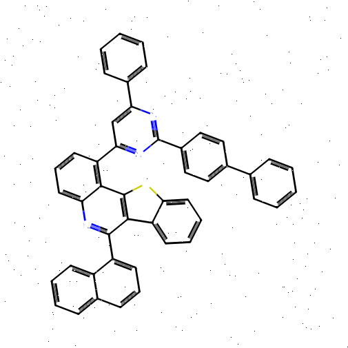 c1ccc(-c2ccc(-c3nc(-c4ccccc4)cc(-c4cccc5nc(-c6cccc7ccccc67)c6c7ccccc7sc6c45)n3)cc2)cc1